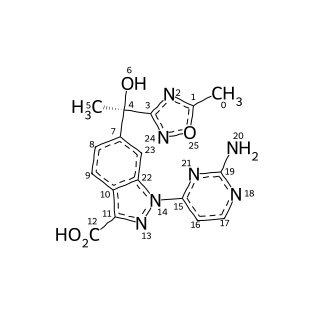 Cc1nc([C@](C)(O)c2ccc3c(C(=O)O)nn(-c4ccnc(N)n4)c3c2)no1